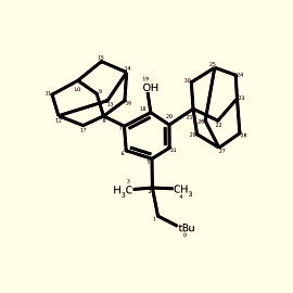 CC(C)(C)CC(C)(C)c1cc(C23CC4CC(CC(C4)C2)C3)c(O)c(C23CC4CC(CC(C4)C2)C3)c1